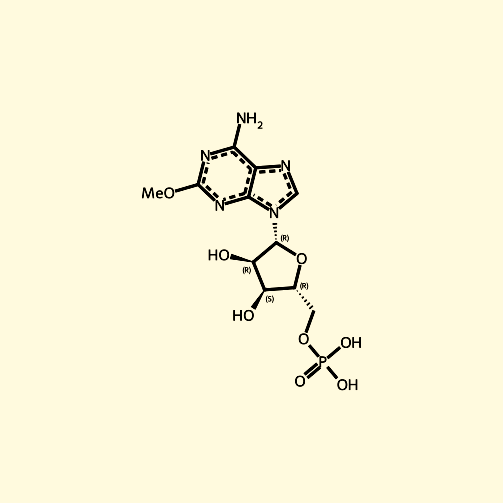 COc1nc(N)c2ncn([C@@H]3O[C@H](COP(=O)(O)O)[C@@H](O)[C@H]3O)c2n1